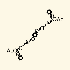 CC(=O)OC(COCCCCOCCOc1ccc(OCCOCCCCOCC(COc2ccccc2)OC(C)=O)cc1)COc1ccccc1